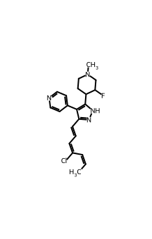 C\C=C/C(Cl)=C\C=C\c1n[nH]c(C2CCN(C)CC2F)c1-c1ccncc1